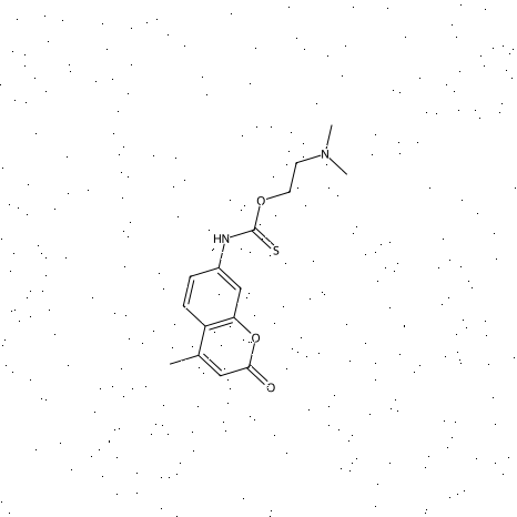 Cc1cc(=O)oc2cc(NC(=S)OCCN(C)C)ccc12